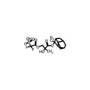 CC(O)(COC(=O)C(F)(F)S(=O)(=O)O)C(=O)OC1(C)C2CC3CC(C2)CC1C3